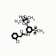 CC1(C)OB(c2cc(NC(=O)Cc3ccccc3Cl)cc(S(C)(=O)=O)c2)OC1(C)C